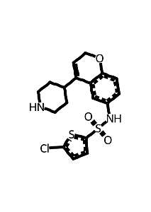 O=S(=O)(Nc1ccc2c(c1)C(C1CCNCC1)=CCO2)c1ccc(Cl)s1